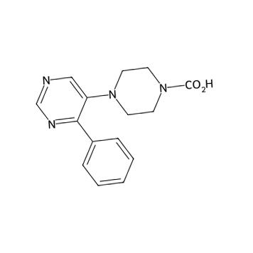 O=C(O)N1CCN(c2cncnc2-c2ccccc2)CC1